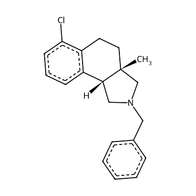 C[C@]12CCc3c(Cl)cccc3[C@H]1CN(Cc1ccccc1)C2